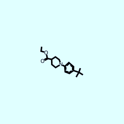 CCOC(=O)C1CCN(c2ccc(C(C)(C)C)cc2)CC1